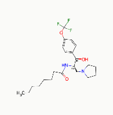 CCCCCCCC(=O)N[C@H](CN1CCCC1)[C@H](O)c1ccc(OC(F)(F)F)cc1